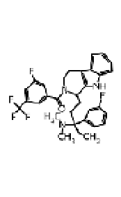 CCC(CCC1c2[nH]c3ccccc3c2CCN1C(=O)c1cc(F)cc(C(F)(F)F)c1)(c1cccc(F)c1)N(C)C